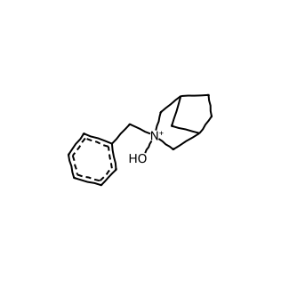 O[N+]1(Cc2ccccc2)CC2CCC(C2)C1